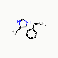 C=C1CNC=N1.C=Cc1ccccc1